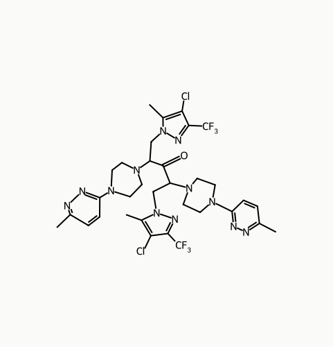 Cc1ccc(N2CCN(C(Cn3nc(C(F)(F)F)c(Cl)c3C)C(=O)C(Cn3nc(C(F)(F)F)c(Cl)c3C)N3CCN(c4ccc(C)nn4)CC3)CC2)nn1